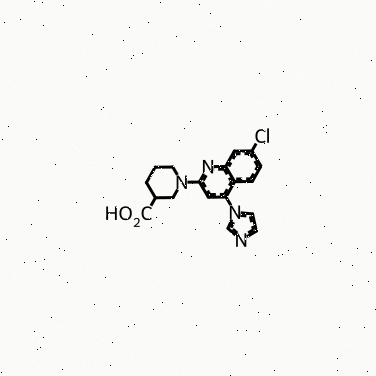 O=C(O)C1CCCN(c2cc(-n3ccnc3)c3ccc(Cl)cc3n2)C1